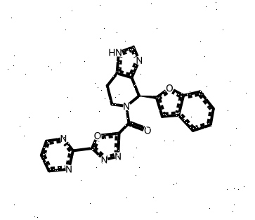 O=C(c1nnc(-c2ncccn2)o1)N1CCc2[nH]cnc2[C@H]1c1cc2ccccc2o1